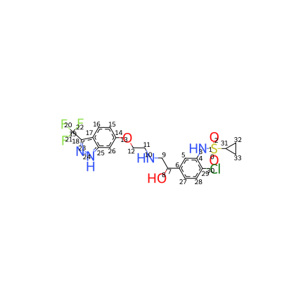 O=S(=O)(Nc1cc(C(O)CNCCOc2ccc3c(C(F)(F)F)n[nH]c3c2)ccc1Cl)C1CC1